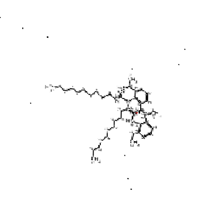 CCCCCCCCCCNC(=O)N(c1c(C(C)C)cccc1C(C)C)N(CCCCCCCCCC)C(=O)Nc1c(CC)cccc1CC